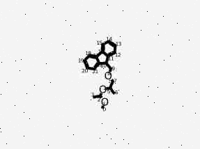 COC(C)OC(C)[C]OCC1c2ccccc2-c2ccccc21